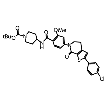 COc1cc(N2CCc3cc(-c4ccc(Cl)cc4)sc3C2=O)ccc1C(=O)NC1CCN(C(=O)OC(C)(C)C)CC1